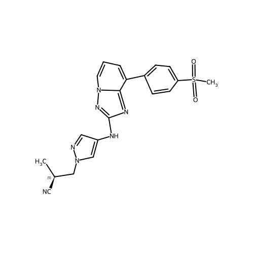 C[C@H](C#N)Cn1cc(Nc2nc3c(-c4ccc(S(C)(=O)=O)cc4)cccn3n2)cn1